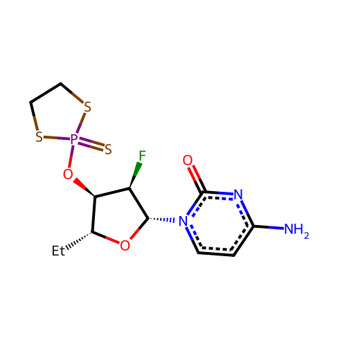 CC[C@H]1O[C@@H](n2ccc(N)nc2=O)[C@H](F)[C@@H]1OP1(=S)SCCS1